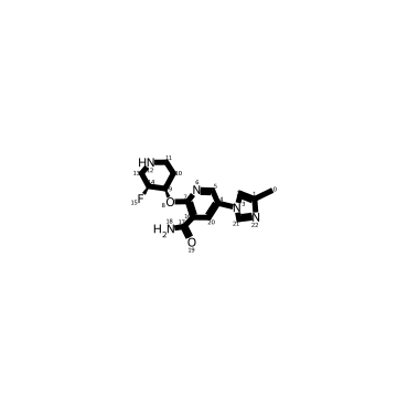 Cc1cn(-c2cnc(O[C@@H]3CCNC[C@@H]3F)c(C(N)=O)c2)cn1